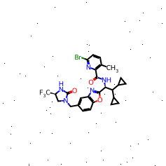 Cc1ccc(Br)nc1C(=O)N[C@H](c1nc2cc(CN3C[C@@H](C(F)(F)F)NC3=O)ccc2o1)C(C1CC1)C1CC1